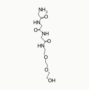 NCC(=O)NCC(=O)NCC(=O)NCCOCCOCCO